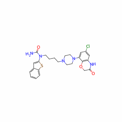 NC(=O)N(CCCCN1CCN(c2cc(Cl)cc3c2OCC(=O)N3)CC1)c1cc2ccccc2s1